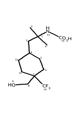 CC(C)(CC1CCC(CO)(C(F)(F)F)CC1)NC(=O)O